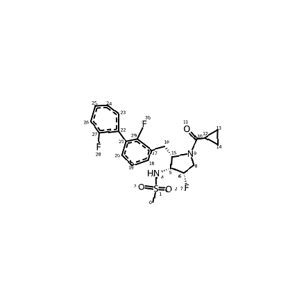 CS(=O)(=O)N[C@H]1[C@@H](F)CN(C(=O)C2CC2)[C@H]1Cc1cccc(-c2ccccc2F)c1F